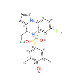 CCC1c2cccn2-c2ccc(F)cc2N1S(=O)(=O)c1cc(C)c(O)c(C)c1